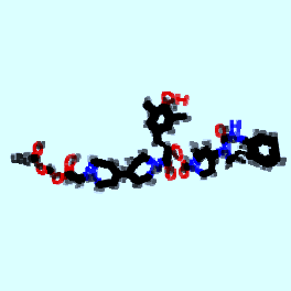 Cc1cc(C[C@@H](OC(=O)N2CCC(N3CCc4ccccc4NC3=O)CC2)C(=O)N2CCC(C3CCN(CC(=O)OCOC(=O)C(C)(C)C)CC3)CC2)cc(C)c1O